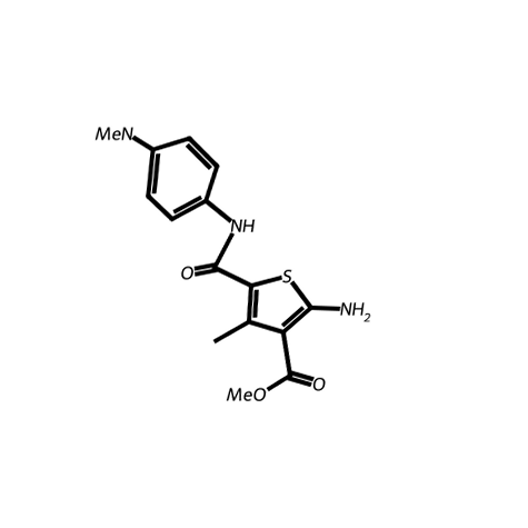 CNc1ccc(NC(=O)c2sc(N)c(C(=O)OC)c2C)cc1